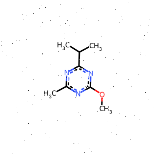 COc1nc(C)nc(C(C)C)n1